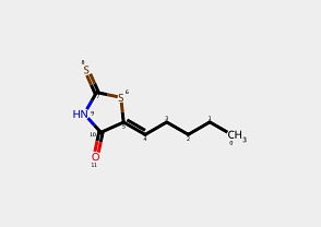 CCCCC=C1SC(=S)NC1=O